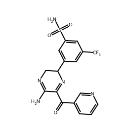 NC1=NCC(c2cc(C(F)(F)F)cc(S(N)(=O)=O)c2)N=C1C(=O)c1cccnc1